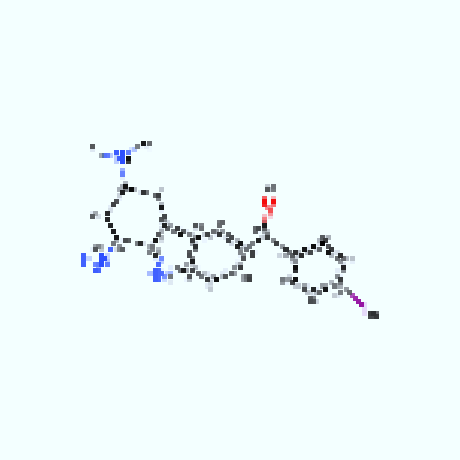 CN(C)C1Cc2c([nH]c3ccc(C(=O)c4ccc(I)cc4)cc23)C(N)C1